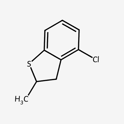 CC1Cc2c(Cl)cccc2S1